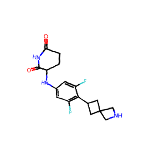 O=C1CCC(Nc2cc(F)c(C3CC4(CNC4)C3)c(F)c2)C(=O)N1